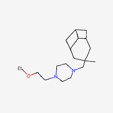 CCOCCN1CCN(CC2(C)CC3CC4CC(C2)C43)CC1